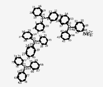 [I-].[I-].[Ni+2].c1ccc(P(c2ccccc2)c2ccccc2)cc1.c1ccc(P(c2ccccc2)c2ccccc2)cc1.c1ccc(P(c2ccccc2)c2ccccc2)cc1.c1ccc(P(c2ccccc2)c2ccccc2)cc1